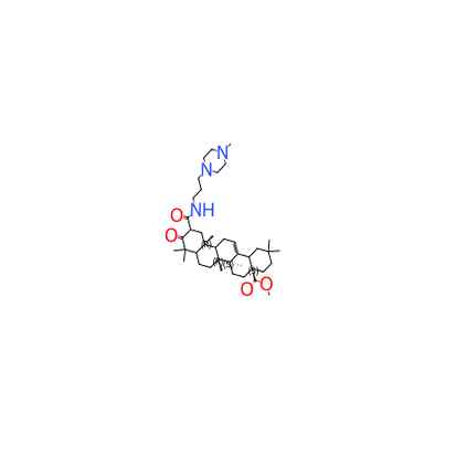 COC(=O)[C@]12CCC(C)(C)CC1C1=CCC3[C@@]4(C)CC(C(=O)NCCCN5CCN(C)CC5)C(=O)C(C)(C)C4CC[C@@]3(C)[C@]1(C)CC2